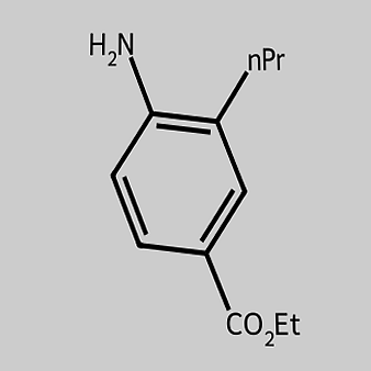 CCCc1cc(C(=O)OCC)ccc1N